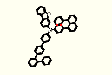 C1=CC2C=CC=C(c3ccc(N(c4ccc(-c5ccc(-c6ccccc6-c6ccccc6)cc5)cc4)c4ccc5c(c4)oc4ccccc45)cc3)C2C(c2ccccc2)=C1